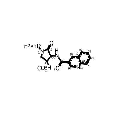 CCCCCN1CC(C(=O)O)C(NC(=O)c2cnc3ccccc3c2)C1=O